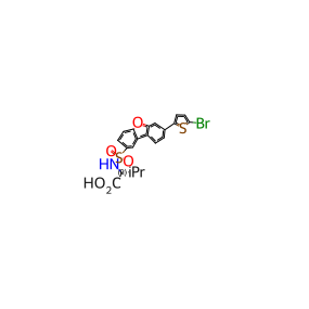 CC(C)[C@@H](NS(=O)(=O)c1ccc2oc3cc(-c4ccc(Br)s4)ccc3c2c1)C(=O)O